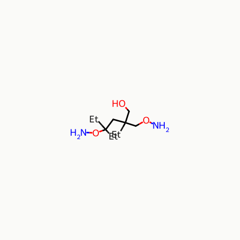 CCC(CO)(CON)CC(CC)(CC)ON